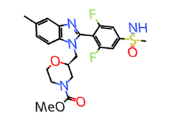 COC(=O)N1CCO[C@@H](Cn2c(-c3c(F)cc(S(C)(=N)=O)cc3F)nc3cc(C)ccc32)C1